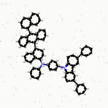 c1ccc(-c2ccc3c(c2)c2cc(-c4ccccc4)ccc2n3-c2ccc(N(c3ccccc3)c3ccc(-c4c5ccccc5c(-c5cccc6ccccc56)c5ccccc45)c4ccccc34)cc2)cc1